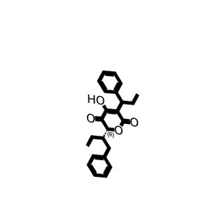 CCC(C1=C(O)C(=O)[C@@H](C(CC)Cc2ccccc2)OC1=O)c1ccccc1